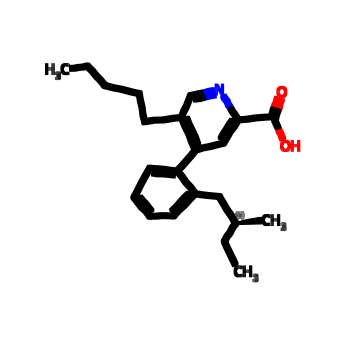 CCCCCc1cnc(C(=O)O)cc1-c1ccccc1C[C@@H](C)CC